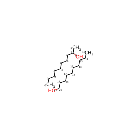 CCCCCCCCC(C)O.CCCCCCCCCCO